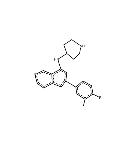 Cc1cc(-c2cc(NC3CCNCC3)c3cnccc3c2)ccc1F